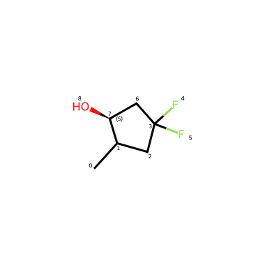 CC1CC(F)(F)C[C@@H]1O